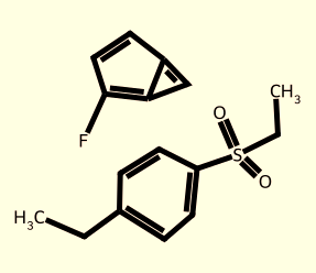 CCc1ccc(S(=O)(=O)CC)cc1.Fc1ccc2cc1-2